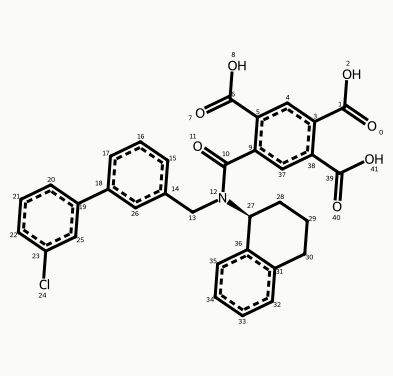 O=C(O)c1cc(C(=O)O)c(C(=O)N(Cc2cccc(-c3cccc(Cl)c3)c2)[C@H]2CCCc3ccccc32)cc1C(=O)O